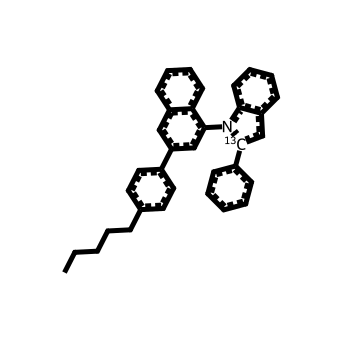 CCCCCc1ccc(-c2cc(-n3c4ccccc4c[13c]3-c3ccccc3)c3ccccc3c2)cc1